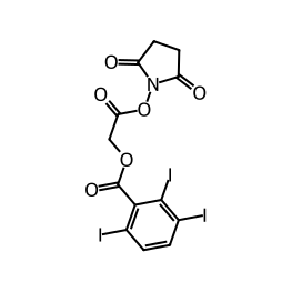 O=C(COC(=O)c1c(I)ccc(I)c1I)ON1C(=O)CCC1=O